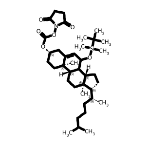 CC(C)CCC[C@@H](C)[C@H]1CC[C@H]2C3C(O[Si](C)(C)C(C)(C)C)C=C4C[C@@H](OC(=O)ON5C(=O)CCC5=O)CC[C@]4(C)[C@H]3CC[C@]12C